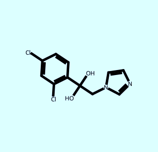 OC(O)(Cn1ccnc1)c1ccc(Cl)cc1Cl